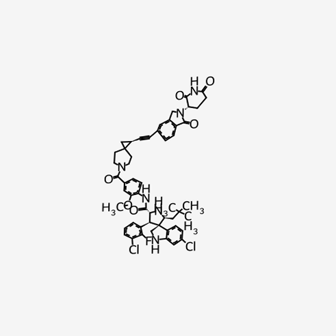 COc1cc(C(=O)N2CCC3(CC2)C[C@H]3C#Cc2ccc3c(c2)CN([C@H]2CCC(=O)NC2=O)C3=O)ccc1NC(=O)[C@@H]1N[C@@H](CC(C)(C)C)[C@@]2(CNc3cc(Cl)ccc32)[C@H]1c1cccc(Cl)c1F